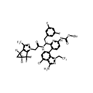 CC(C)(C)OC(=O)Nc1ccc(-c2ccc(Cl)c3c(N)nn(CC(F)(F)F)c23)c([C@H](Cc2cc(F)cc(F)c2)NC(=O)Cn2nc(C(F)(F)F)c3c2C(F)(F)[C@@H]2C[C@H]32)n1